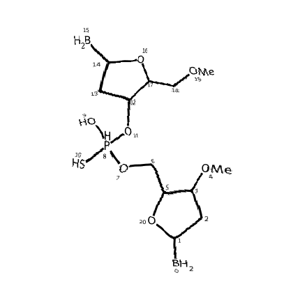 BC1CC(OC)C(CO[PH](O)(S)OC2CC(B)OC2COC)O1